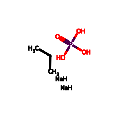 CCC.O=P(O)(O)O.[NaH].[NaH]